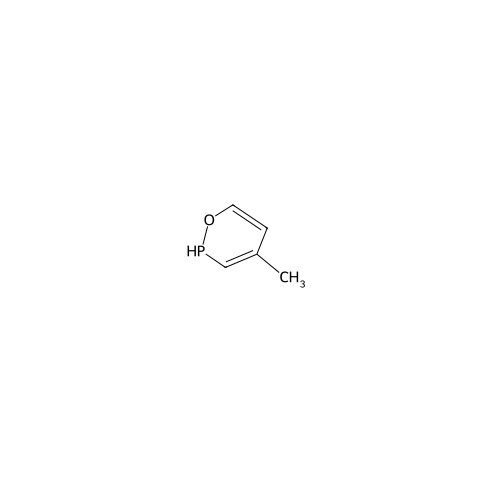 CC1=CPOC=C1